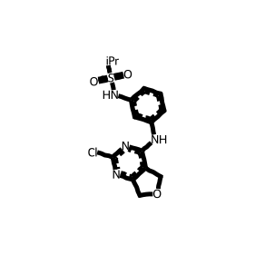 CC(C)S(=O)(=O)Nc1cccc(Nc2nc(Cl)nc3c2COC3)c1